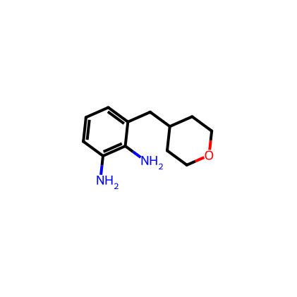 Nc1cccc(CC2CCOCC2)c1N